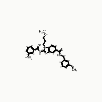 COCCCn1c(NC(=O)c2cccc(N)c2)nc2cc(C(=O)NCc3cccc(OC)c3)ccc21